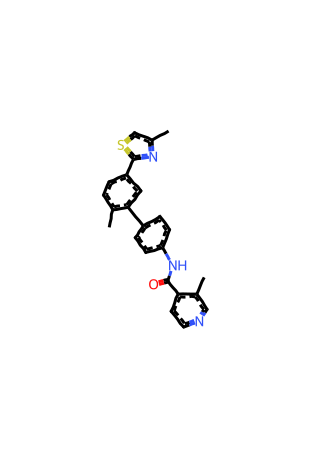 Cc1csc(-c2ccc(C)c(-c3ccc(NC(=O)c4ccncc4C)cc3)c2)n1